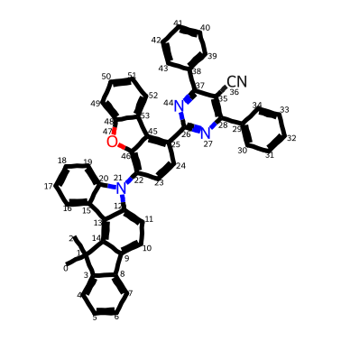 CC1(C)c2ccccc2-c2ccc3c(c21)c1ccccc1n3-c1ccc(-c2nc(-c3ccccc3)c(C#N)c(-c3ccccc3)n2)c2c1oc1ccccc12